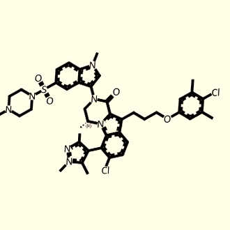 Cc1cc(OCCCc2c3n(c4c(-c5c(C)nn(C)c5C)c(Cl)ccc24)[C@H](C)CN(c2cn(C)c4ccc(S(=O)(=O)N5CCN(C)CC5)cc24)C3=O)cc(C)c1Cl